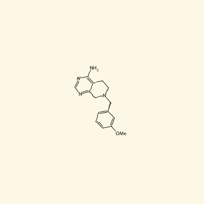 COc1cccc(CN2CCc3c(N)ncnc3C2)c1